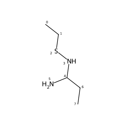 CCSNC(N)CC